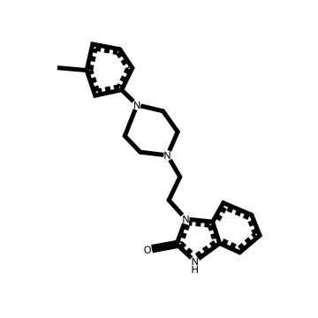 Cc1cccc(N2CCN(CCn3c(=O)[nH]c4ccccc43)CC2)c1